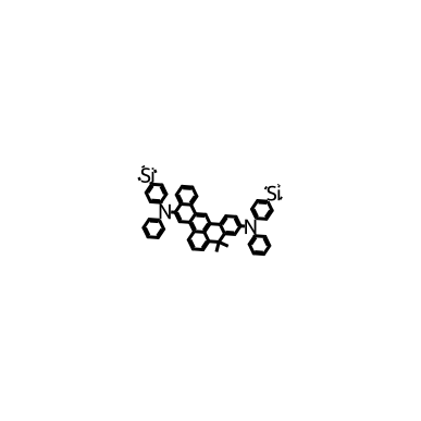 CC1(C)c2cc(N(c3ccccc3)c3ccc([Si](C)(C)C)cc3)ccc2-c2cc3c4ccccc4c(N(c4ccccc4)c4ccc([Si](C)(C)C)cc4)cc3c3cccc1c23